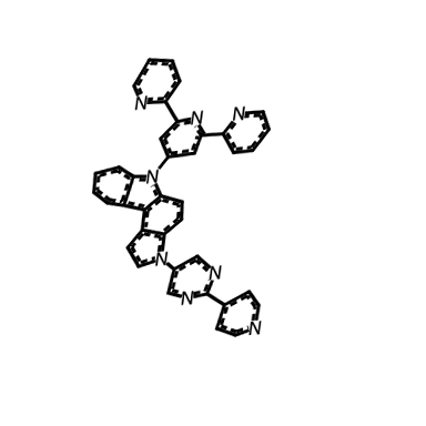 c1ccc(-c2cc(-n3c4ccccc4c4c5ccn(-c6cnc(-c7ccncc7)nc6)c5ccc43)cc(-c3ccccn3)n2)nc1